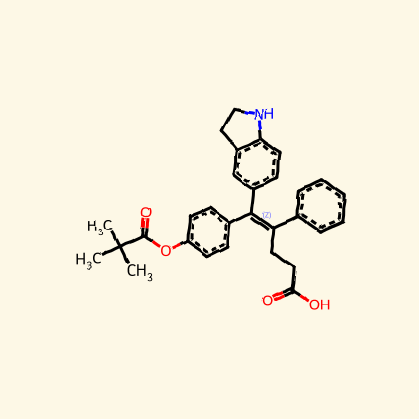 CC(C)(C)C(=O)Oc1ccc(/C(=C(\CCC(=O)O)c2ccccc2)c2ccc3c(c2)CCN3)cc1